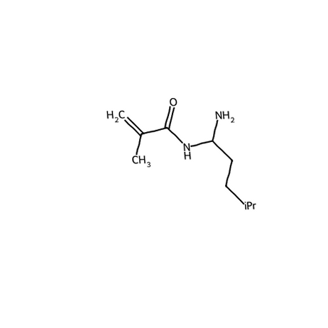 C=C(C)C(=O)NC(N)CCC(C)C